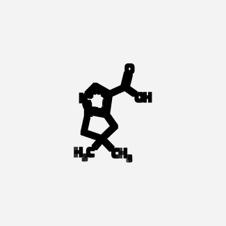 CC1(C)Cc2c(C(=O)O)cnn2C1